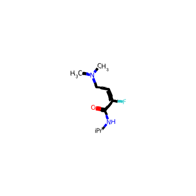 CC(C)NC(=O)/C(F)=C\CN(C)C